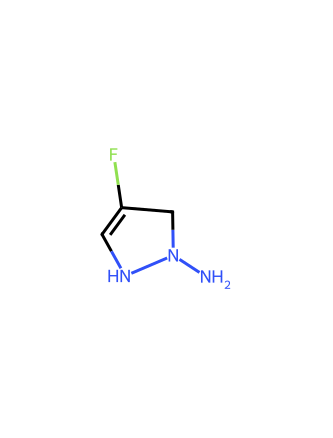 NN1CC(F)=CN1